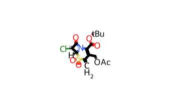 C=C1C(COC(C)=O)=C(C(=O)OC(C)(C)C)N2C(=O)[C@H](Cl)[C@H]2S1(=O)=O